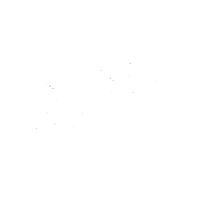 CC(C)(C)OC(=O)N1CCC(c2cnn3cc(CO)ccc23)CC1